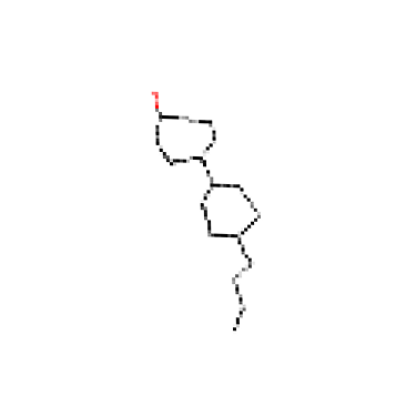 CCCCC1CCC(C2CCC([O])CC2)CC1